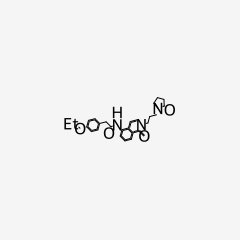 CCOc1ccc(CC(=O)Nc2cccc3c(=O)n(CCCN4CCCC4=O)ccc23)cc1